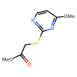 COC(=O)CSc1nccc(OC)n1